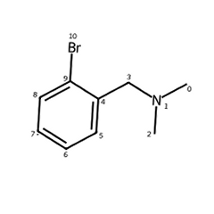 CN(C)Cc1cc[c]cc1Br